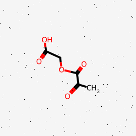 CC(=O)C(=O)OCC(=O)O